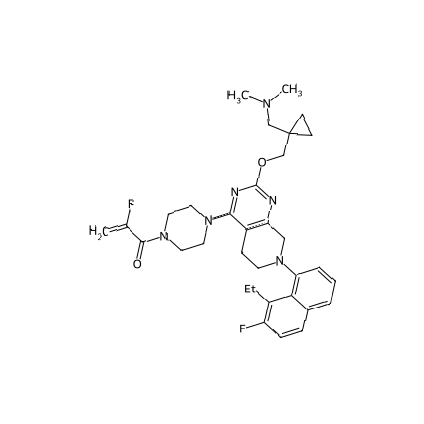 C=C(F)C(=O)N1CCN(c2nc(OCC3(CN(C)C)CC3)nc3c2CCN(c2cccc4ccc(F)c(CC)c24)C3)CC1